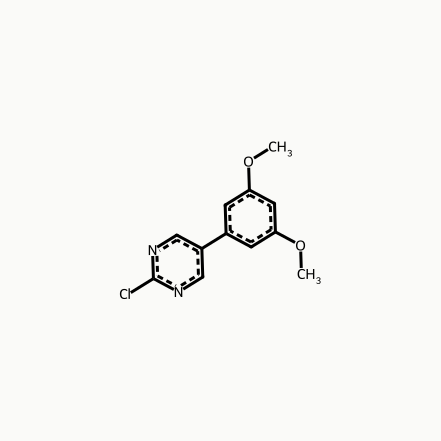 COc1cc(OC)cc(-c2cnc(Cl)nc2)c1